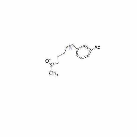 CC(=O)c1cccc(/C=C\CCC[S+](C)[O-])c1